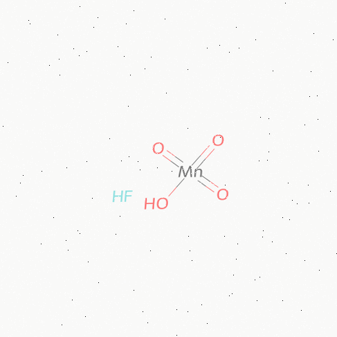 F.[O]=[Mn](=[O])(=[O])[OH]